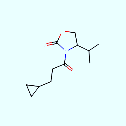 CC(C)C1COC(=O)N1C(=O)CCC1CC1